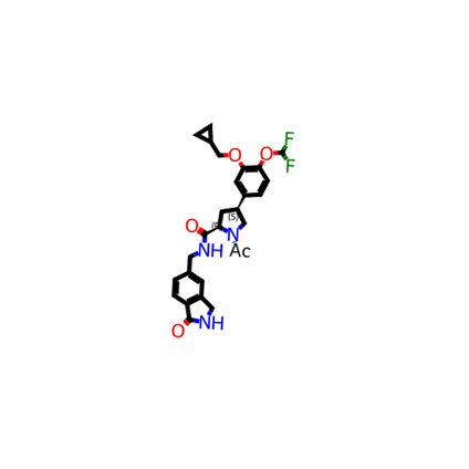 CC(=O)N1C[C@H](c2ccc(OC(F)F)c(OCC3CC3)c2)C[C@@H]1C(=O)NCc1ccc2c(c1)CNC2=O